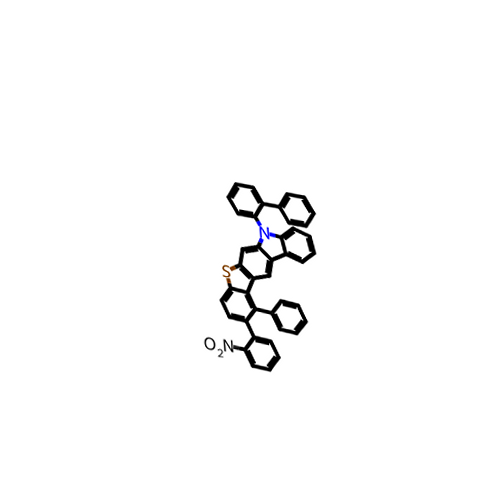 O=[N+]([O-])c1ccccc1-c1ccc2sc3cc4c(cc3c2c1-c1ccccc1)c1ccccc1n4-c1ccccc1-c1ccccc1